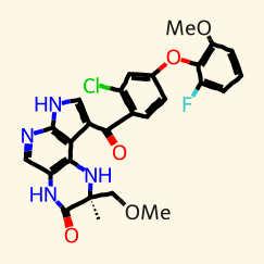 COC[C@]1(C)Nc2c(cnc3[nH]cc(C(=O)c4ccc(Oc5c(F)cccc5OC)cc4Cl)c23)NC1=O